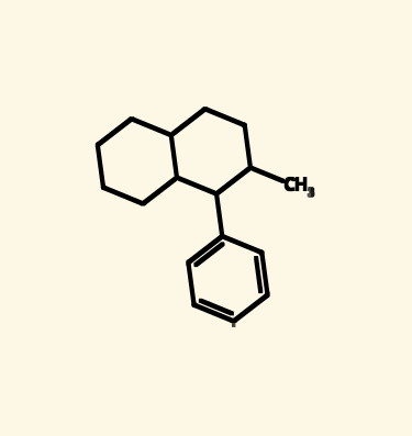 CC1CCC2CCCCC2C1c1cc[c]cc1